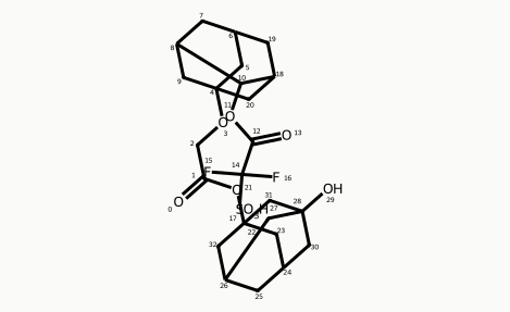 O=C(COC12CC3CC(C1)C(OC(=O)C(F)(F)S(=O)(=O)O)C(C3)C2)OC12CC3CC(CC(O)(C3)C1)C2